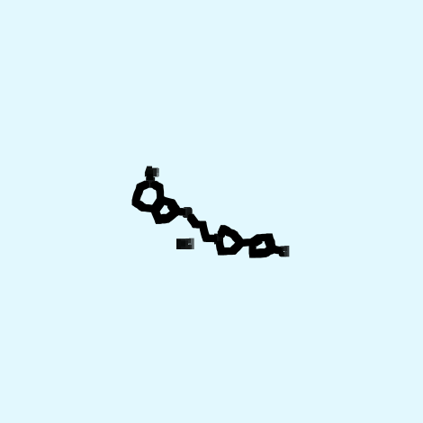 CC(=O)N1CCCc2ccc(OCCCN3CCC(c4ccc(Cl)cc4)CC3)cc2C1.Cl